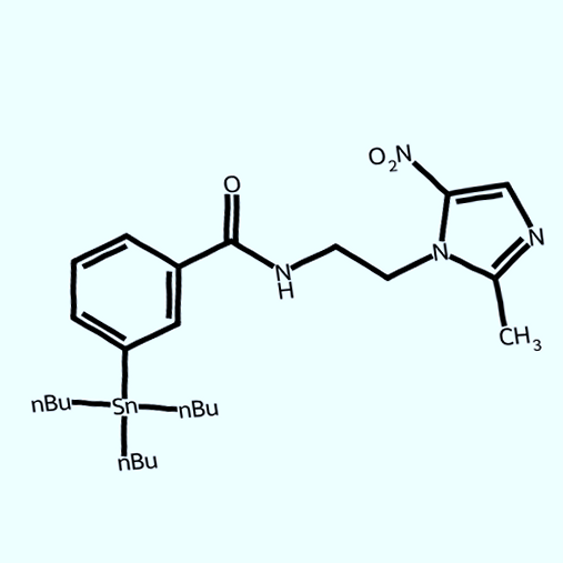 CCC[CH2][Sn]([CH2]CCC)([CH2]CCC)[c]1cccc(C(=O)NCCn2c([N+](=O)[O-])cnc2C)c1